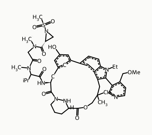 CCn1c(-c2cnccc2COC)c2c3cc(ccc31)-c1cc(O)cc(c1)C[C@H](NC(=O)C(C(C)C)N(C)C(=O)CN(C)C(=O)[C@H]1CN1S(C)(=O)=O)C(=O)N1CCC[C@H](N1)C(=O)OCC(C)(C)C2